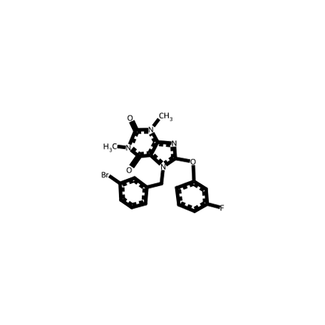 Cn1c(=O)c2c(nc(Oc3cccc(F)c3)n2Cc2cccc(Br)c2)n(C)c1=O